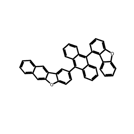 c1ccc2cc3c(cc2c1)oc1ccc(-c2c4ccccc4c(-c4cccc5oc6ccccc6c45)c4ccccc24)cc13